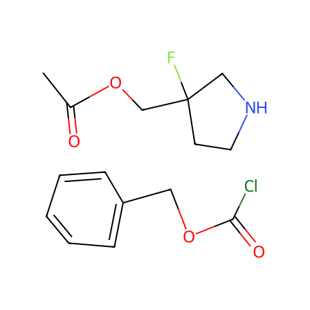 CC(=O)OCC1(F)CCNC1.O=C(Cl)OCc1ccccc1